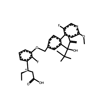 C=C(C)C(O)(c1cc(COc2cccc([C@H](CC)CC(=O)O)c2F)ccc1-c1cc(OC)ncc1F)C(C)(C)C